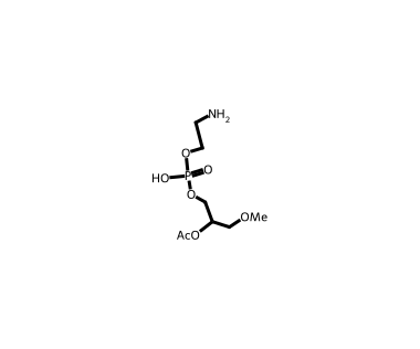 COCC(COP(=O)(O)OCCN)OC(C)=O